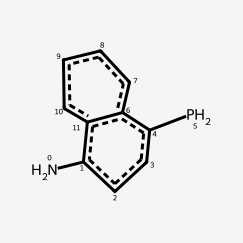 Nc1ccc(P)c2ccccc12